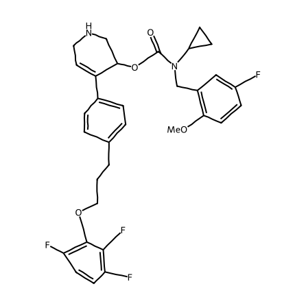 COc1ccc(F)cc1CN(C(=O)OC1CNCC=C1c1ccc(CCCOc2c(F)ccc(F)c2F)cc1)C1CC1